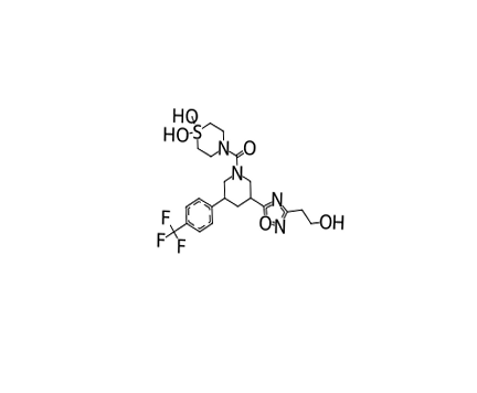 O=C(N1CCS(O)(O)CC1)N1CC(c2ccc(C(F)(F)F)cc2)CC(c2nc(CCO)no2)C1